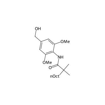 CCCCCCCCC(C)(C)C(=O)Nc1c(OC)cc(CO)cc1OC